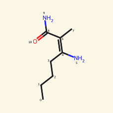 CCCCC(N)=C(C)C(N)=O